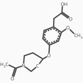 COc1cc(OC2CCN(C(C)=O)CC2)ccc1CC(=O)O